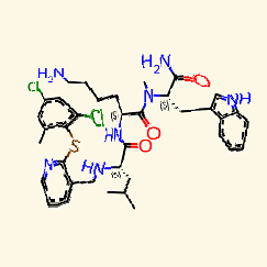 Cc1cc(Cl)cc(Cl)c1Sc1ncccc1CN[C@@H](CC(C)C)C(=O)N[C@@H](CCCCN)C(=O)N(C)[C@@H](Cc1c[nH]c2ccccc12)C(N)=O